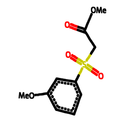 COC(=O)CS(=O)(=O)c1cccc(OC)c1